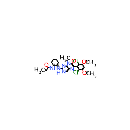 C=CC(=O)N[C@H]1CCCC[C@H]1Nc1ncc2nc(-c3c(Cl)c(OC)cc(OC)c3Cl)c(=O)n(CC)c2n1